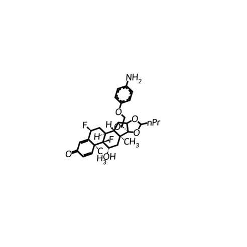 CCCC1OC2C[C@H]3[C@@H]4C[C@H](F)C5=CC(=O)C=C[C@]5(C)[C@@]4(F)[C@@H](O)C[C@]3(C)[C@]2(C(=O)COc2ccc(N)cc2)O1